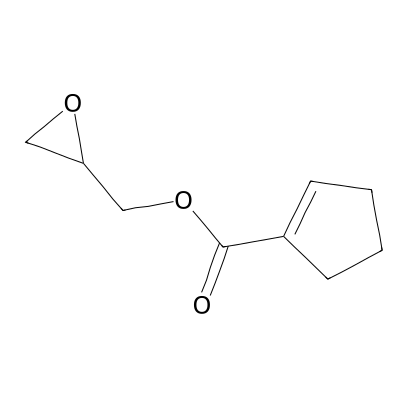 O=C(OCC1CO1)C1=CCCC1